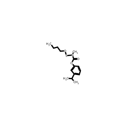 CCCCOSN(C)C(=O)Oc1cccc(C(C)C)c1